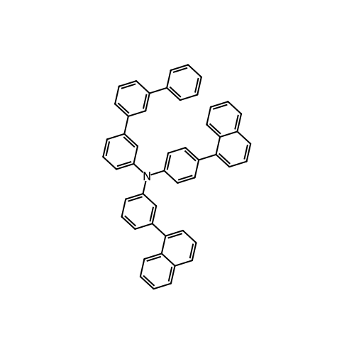 c1ccc(-c2cccc(-c3cccc(N(c4ccc(-c5cccc6ccccc56)cc4)c4cccc(-c5cccc6ccccc56)c4)c3)c2)cc1